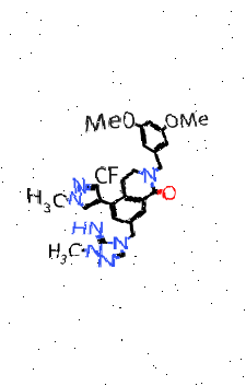 COc1cc(CN2CCc3c(cc(Cn4cnn(C)c4=N)cc3-c3cn(C)nc3C(F)(F)F)C2=O)cc(OC)c1